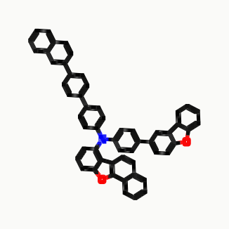 c1ccc2cc(-c3ccc(-c4ccc(N(c5ccc(-c6ccc7oc8ccccc8c7c6)cc5)c5cccc6oc7c8ccccc8ccc7c56)cc4)cc3)ccc2c1